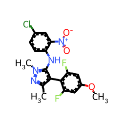 COc1cc(F)c(-c2c(C)nn(C)c2Nc2ccc(Cl)cc2[N+](=O)[O-])c(F)c1